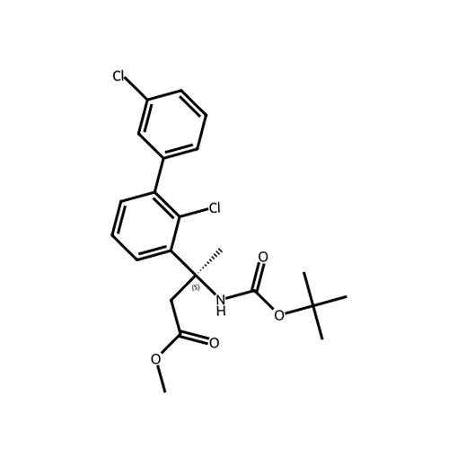 COC(=O)C[C@](C)(NC(=O)OC(C)(C)C)c1cccc(-c2cccc(Cl)c2)c1Cl